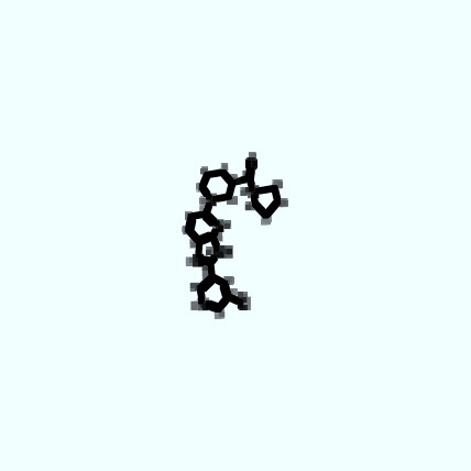 O=C([C@@H]1CCCN(c2ccc3nc(-c4cncc(Cl)c4)[nH]c3n2)C1)N1CCCC1